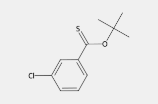 CC(C)(C)OC(=S)c1cccc(Cl)c1